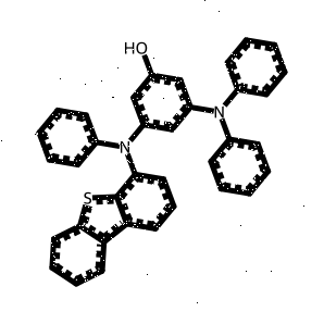 Oc1cc(N(c2ccccc2)c2ccccc2)cc(N(c2ccccc2)c2cccc3c2sc2ccccc23)c1